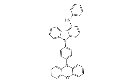 c1ccc(Nc2cccc3c2c2ccccc2n3-c2ccc(N3c4ccccc4Oc4ccccc43)cc2)cc1